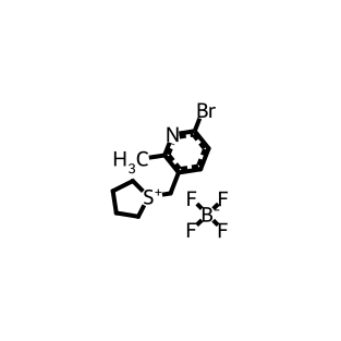 Cc1nc(Br)ccc1C[S+]1CCCC1.F[B-](F)(F)F